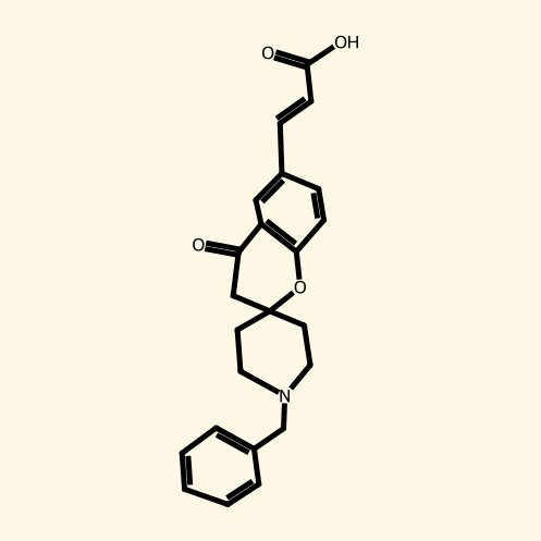 O=C(O)/C=C/c1ccc2c(c1)C(=O)CC1(CCN(Cc3ccccc3)CC1)O2